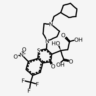 O=C(O)C[C@](O)(C(=O)O)c1c(N2CCN(CC3CCCCC3)CC2)sc2c([N+](=O)[O-])cc(C(F)(F)F)cc2c1=O